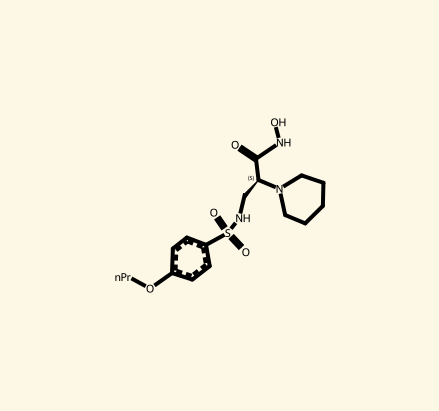 CCCOc1ccc(S(=O)(=O)NC[C@@H](C(=O)NO)N2CCCCC2)cc1